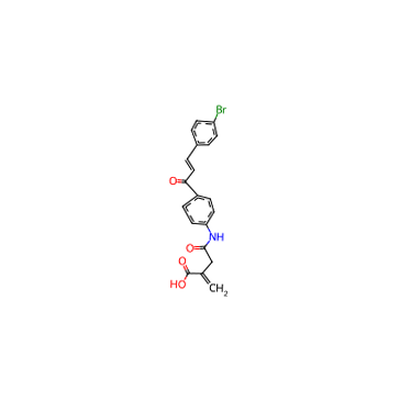 C=C(CC(=O)Nc1ccc(C(=O)C=Cc2ccc(Br)cc2)cc1)C(=O)O